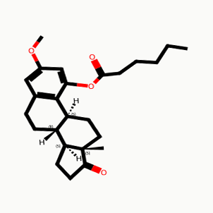 CCCCCC(=O)Oc1cc(OC)cc2c1[C@H]1CC[C@]3(C)C(=O)CC[C@H]3[C@@H]1CC2